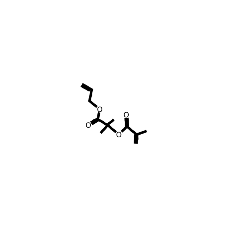 C=CCOC(=O)C(C)(C)OC(=O)C(=C)C